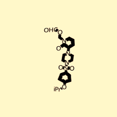 CC(C)Oc1ccc(S(=O)(=O)N2CCN(c3cccn(COC=O)c3=O)CC2)cc1